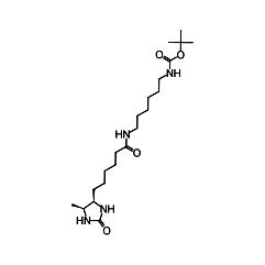 C[C@@H]1NC(=O)N[C@@H]1CCCCCC(=O)NCCCCCCNC(=O)OC(C)(C)C